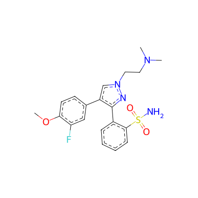 COc1ccc(-c2cn(CCN(C)C)nc2-c2ccccc2S(N)(=O)=O)cc1F